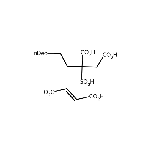 CCCCCCCCCCCCC(CC(=O)O)(C(=O)O)S(=O)(=O)O.O=C(O)C=CC(=O)O